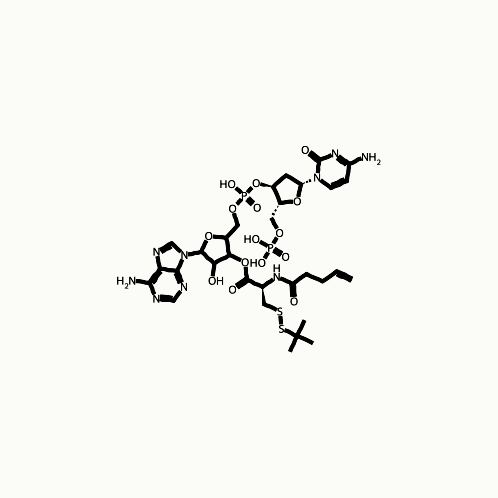 C=CCCC(=O)N[C@@H](CSSC(C)(C)C)C(=O)OC1C(COP(=O)(O)O[C@H]2C[C@H](n3ccc(N)nc3=O)O[C@@H]2COP(=O)(O)O)OC(n2cnc3c(N)ncnc32)C1O